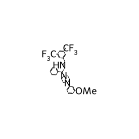 COc1cccc(N2CCN(C(CNCc3cc(C(F)(F)F)cc(C(F)(F)F)c3)c3ccccc3)CC2)c1